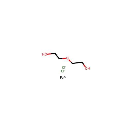 OCCOCCO.[Cl-].[Cl-].[Fe+2]